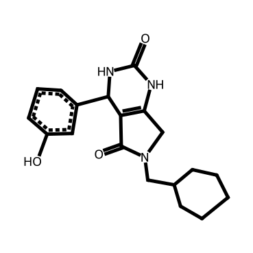 O=C1NC2=C(C(=O)N(CC3CCCCC3)C2)C(c2cccc(O)c2)N1